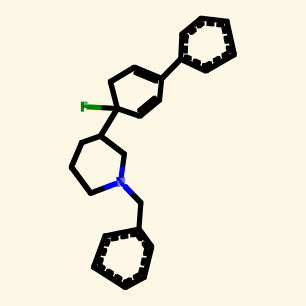 FC1(C2CCCN(Cc3ccccc3)C2)C=CC(c2ccccc2)=CC1